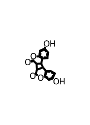 O=C1Oc2cc(O)ccc2C2C1C1C(=O)Oc3cc(O)ccc3C12